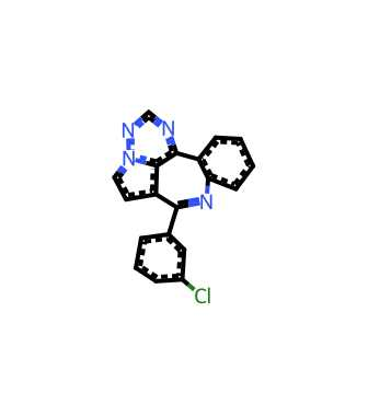 Clc1cccc(C2=Nc3ccccc3-c3ncnn4ccc2c34)c1